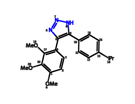 COc1ccc(-c2nn[nH]c2-c2ccc(C(C)C)cc2)c(OC)c1OC